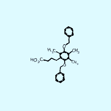 Cc1c(C)c(OCc2ccccc2)c(CCCC(=O)O)c(C)c1OCc1ccccc1